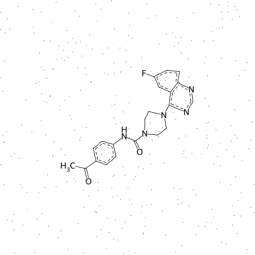 CC(=O)c1ccc(NC(=O)N2CCN(c3ncnc4ccc(F)cc34)CC2)cc1